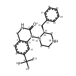 O=C1NCc2ccc(C(F)(F)F)cc2N1N1CCNC[C@@H]1Cc1ccccc1